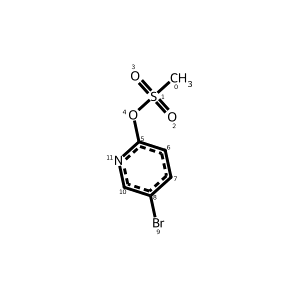 CS(=O)(=O)Oc1ccc(Br)cn1